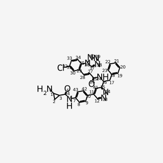 NC1CC1C(=O)Nc1ccc(-c2cnnc(C(Cc3ccccc3)NC(=O)C=Cc3cc(Cl)ccc3-n3cnnn3)c2)cc1